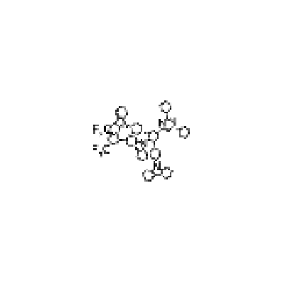 FC(F)(F)c1cc(-c2ccc3c(c2)c2ccccc2n3-c2c(-c3ccc(-n4c5ccccc5c5ccccc54)cc3)cc(-c3cc(-c4ccccc4)nc(-c4ccccc4)n3)cc2-c2ccc(-n3c4ccccc4c4ccccc43)cc2)cc(C(F)(F)F)c1